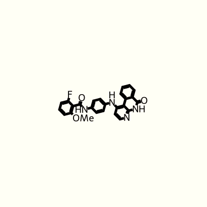 COc1cccc(F)c1C(=O)Nc1ccc(Nc2ccnc3[nH]c(=O)c4ccccc4c23)cc1